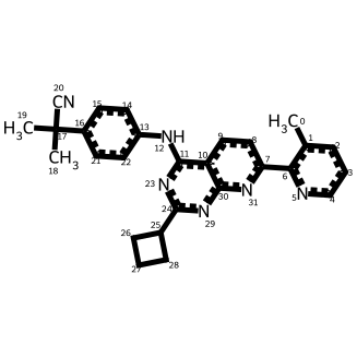 Cc1cccnc1-c1ccc2c(Nc3ccc(C(C)(C)C#N)cc3)nc(C3CCC3)nc2n1